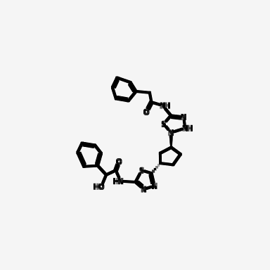 O=C(Cc1ccccc1)NC1=NNN([C@H]2CC[C@H](c3nnc(NC(=O)C(O)c4ccccc4)s3)C2)S1